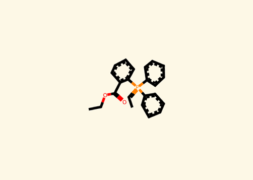 CC=P(c1ccccc1)(c1ccccc1)c1ccccc1C(=O)OCC